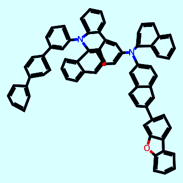 c1ccc(-c2ccc(-c3cccc(N(c4ccccc4-c4cccc(N(c5ccc6cc(-c7ccc8c(c7)oc7ccccc78)ccc6c5)c5cccc6ccccc56)c4)c4cccc5ccccc45)c3)cc2)cc1